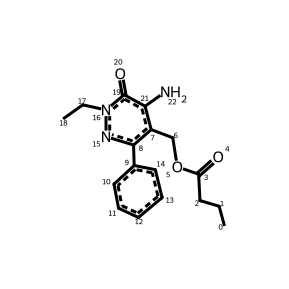 CCCC(=O)OCc1c(-c2ccccc2)nn(CC)c(=O)c1N